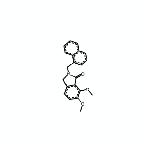 COc1ccc2c(c1OC)C(=O)N(Cc1cccc3ccccc13)C2